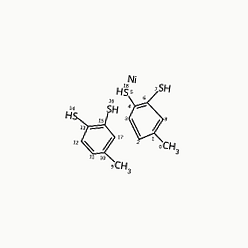 Cc1ccc(S)c(S)c1.Cc1ccc(S)c(S)c1.[Ni]